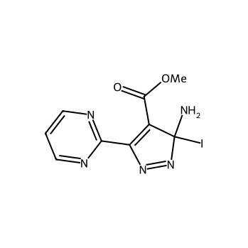 COC(=O)C1=C(c2ncccn2)N=NC1(N)I